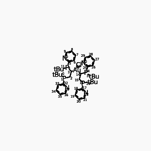 CC(C)(C)P(C[CH](P(c1ccccn1)C(C)(C)C)[Au]([Cl])[CH](CP(c1ccccn1)C(C)(C)C)P(c1ccccn1)C(C)(C)C)c1ccccn1